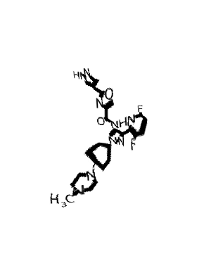 CN1CCN([C@H]2CC[C@@H](n3cc(NC(=O)c4coc(-c5cn[nH]c5)n4)c(-c4nc(F)ccc4F)n3)CC2)CC1